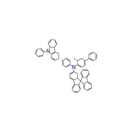 CC1CC(c2ccccc2)=CC=C1N(C1=CC=C2c3ccccc3C3(c4ccccc4-c4ccccc43)C2C1)c1ccc([C@@H]2C=CC3=C(C2)C2C=CC=CC2N3c2ccccc2)cc1